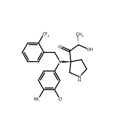 C[C@H](O)C(=O)[C@]1(N(Cc2ccccc2C(F)(F)F)c2ccc(C#N)c(Cl)c2)CCNC1